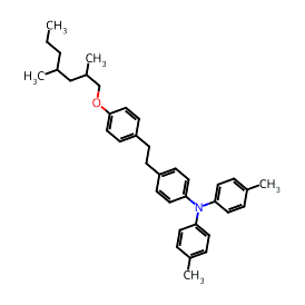 CCCC(C)CC(C)COc1ccc(CCc2ccc(N(c3ccc(C)cc3)c3ccc(C)cc3)cc2)cc1